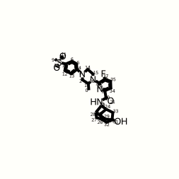 CC1CN(c2ccc(S(C)(=O)=O)cc2)CCN1c1nc(C(=O)NC2C3CC4CC2CC(O)(C4)C3)ccc1F